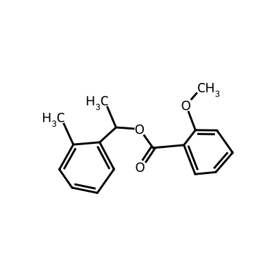 COc1ccccc1C(=O)OC(C)c1ccccc1C